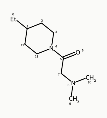 CCC1CCN(C(=O)CN(C)C)CC1